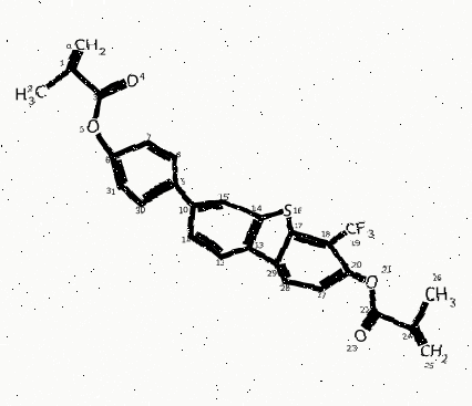 C=C(C)C(=O)Oc1ccc(-c2ccc3c(c2)sc2c(C(F)(F)F)c(OC(=O)C(=C)C)ccc23)cc1